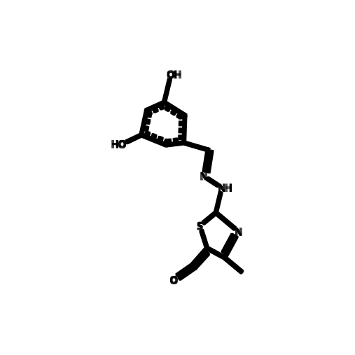 CC1=NC(NN=Cc2cc(O)cc(O)c2)SC1=C=O